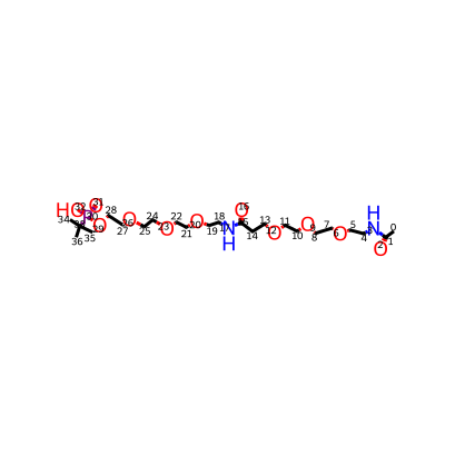 CC(=O)NCCOCCOCCOCCC(=O)NCCOCCOCCOCCOP(=O)(O)C(C)(C)C